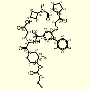 CCOC(=O)ON1CCN(C(=O)[C@H](CCC(=O)O)NC(=O)c2cc(OCC(=O)N3CCC[C@H]3C(=O)NC3CCC3)n(-c3ccccc3)n2)C[C@@H]1C